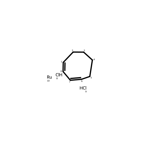 C1=C\CCCC\C=C/1.Cl.Cl.[Ru]